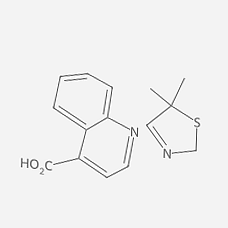 CC1(C)C=NCS1.O=C(O)c1ccnc2ccccc12